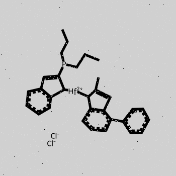 CCCP(CCC)C1=Cc2ccccc2[CH]1[Hf+2][CH]1C(C)=Cc2c(-c3ccccc3)cccc21.[Cl-].[Cl-]